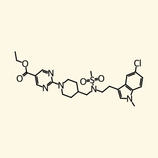 CCOC(=O)c1cnc(N2CCC(CN(CCc3cn(C)c4ccc(Cl)cc34)S(C)(=O)=O)CC2)nc1